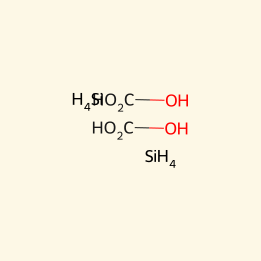 O=C(O)O.O=C(O)O.[SiH4].[SiH4]